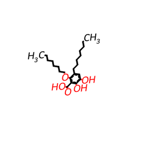 CCCCCCCCOc1c(CCCCCCCC)cc(O)c(O)c1C(=O)O